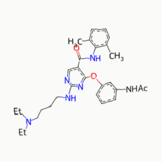 CCN(CC)CCCCNc1ncc(C(=O)Nc2c(C)cccc2C)c(Oc2cccc(NC(C)=O)c2)n1